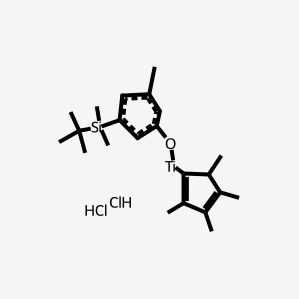 CC1=C(C)C(C)[C]([Ti][O]c2cc(C)cc([Si](C)(C)C(C)(C)C)c2)=C1C.Cl.Cl